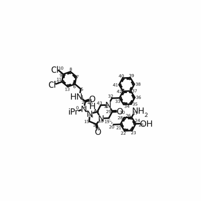 CC(C)N(C(=O)NCc1ccc(Cl)c(Cl)c1)N1CC(=O)N2[C@@H](Cc3ccc(O)c(N)c3)C(=O)N(Cc3cccc4ccccc34)C[C@@H]21